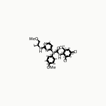 COC[C@H](C)Nc1nccc(N(C(=O)Nc2c(Cl)cc(Cl)cc2Cl)c2ccc(OC)cc2)n1